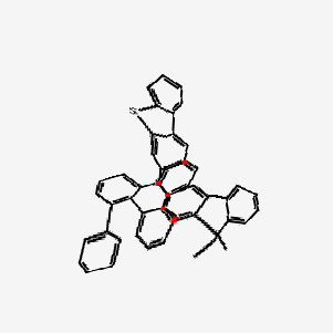 CC1(C)c2ccccc2-c2cc(N(c3ccc4c(c3)sc3ccccc34)c3cccc(-c4ccccc4)c3-c3ccccc3-c3ccccc3)ccc21